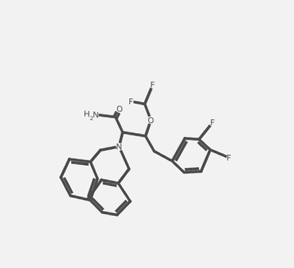 NC(=O)C(C(Cc1ccc(F)c(F)c1)OC(F)F)N(Cc1ccccc1)Cc1ccccc1